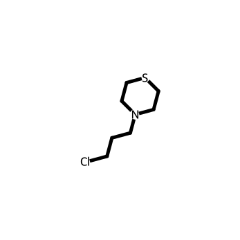 ClCCCN1CCSCC1